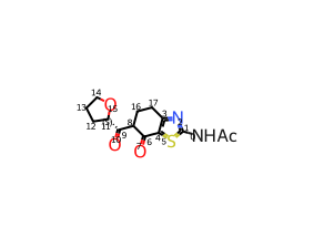 CC(=O)Nc1nc2c(s1)C(=O)C(C(=O)[C@@H]1CCCO1)CC2